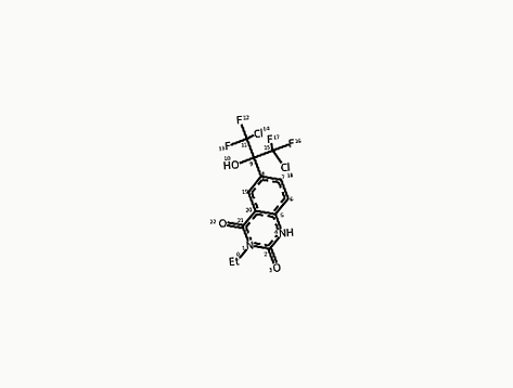 CCn1c(=O)[nH]c2ccc(C(O)(C(F)(F)Cl)C(F)(F)Cl)cc2c1=O